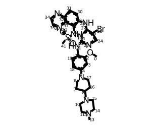 COc1cc(N2CCC(N3CCN(C)CC3)CC2)ccc1Nc1ncc(Br)c(Nc2ccc3nccnc3c2NS(C)(=O)=O)n1